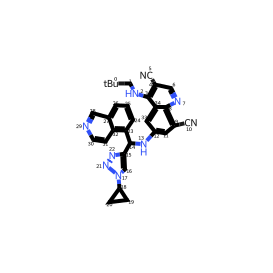 CC(C)(C)CNc1c(C#N)cnc2c(C#N)cc(NC(c3cn(C4CC4)nn3)c3cccc4cnccc34)cc12